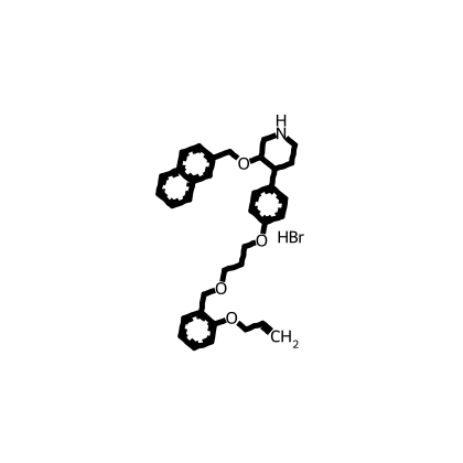 Br.C=CCOc1ccccc1COCCCOc1ccc(C2CCNCC2OCc2ccc3ccccc3c2)cc1